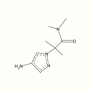 CN(C)C(=O)C(C)(C)n1cc(N)cn1